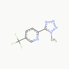 Cn1nnnc1-c1ccc(C(F)(F)F)cn1